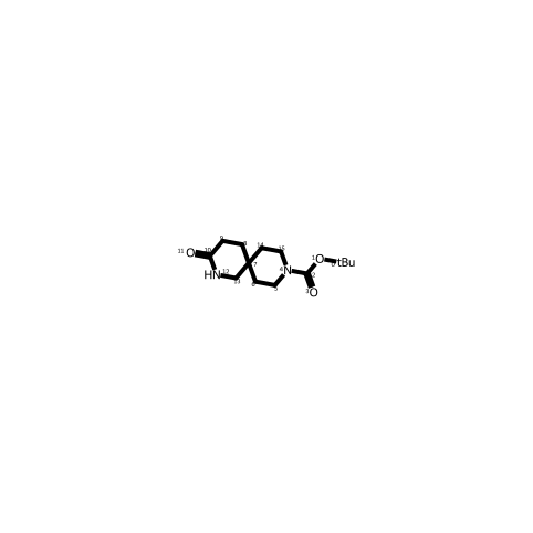 CC(C)(C)OC(=O)N1CCC2(CCC(=O)NC2)CC1